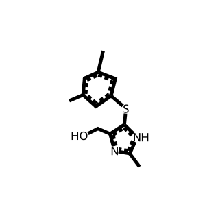 Cc1cc(C)cc(Sc2[nH]c(C)nc2CO)c1